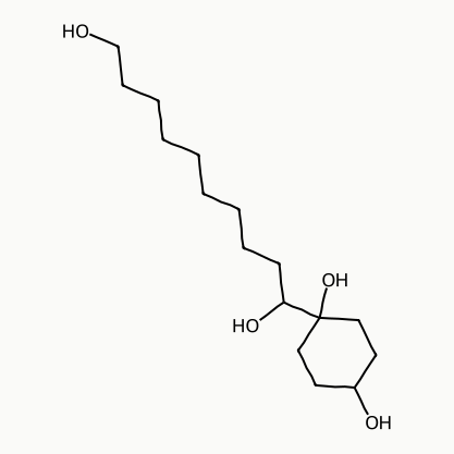 OCCCCCCCCCC(O)C1(O)CCC(O)CC1